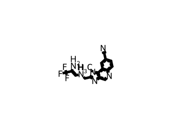 Cn1c(CN/C=C(\N)C(F)(F)F)nc2cnc3ccc(C#N)cc3c21